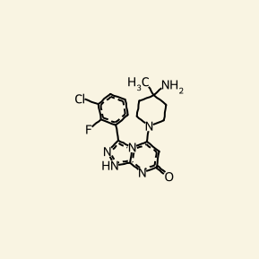 CC1(N)CCN(c2cc(=O)nc3[nH]nc(-c4cccc(Cl)c4F)n23)CC1